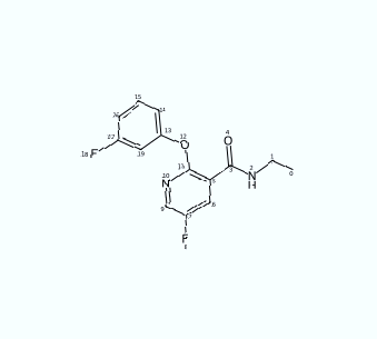 C[CH]NC(=O)c1cc(F)cnc1Oc1cccc(F)c1